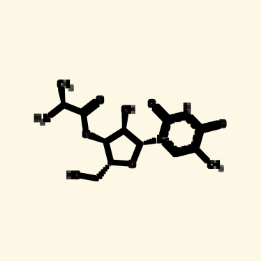 Cc1cn([C@@H]2O[C@H](CO)[C@@H](OC(=O)[C@H](C)N)[C@H]2O)c(=O)[nH]c1=O